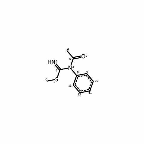 CSC(=N)N(C(C)=O)c1ccccc1